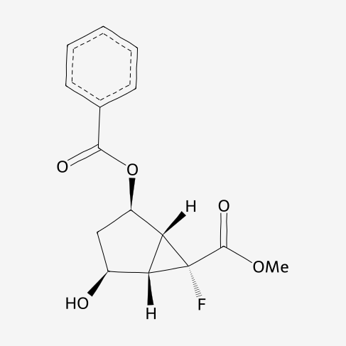 COC(=O)[C@]1(F)[C@@H]2[C@H]1[C@@H](O)C[C@H]2OC(=O)c1ccccc1